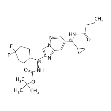 CCCC(=O)N[C@@H](c1cnn2cc([C@@H](NC(=O)OC(C)(C)C)C3CCC(F)(F)CC3)nc2c1)C1CC1